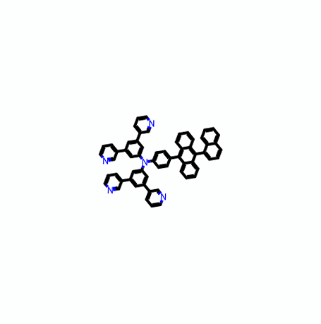 c1cncc(-c2cc(-c3cccnc3)cc(N(c3ccc(-c4c5ccccc5c(-c5cccc6ccccc56)c5ccccc45)cc3)c3cc(-c4cccnc4)cc(-c4cccnc4)c3)c2)c1